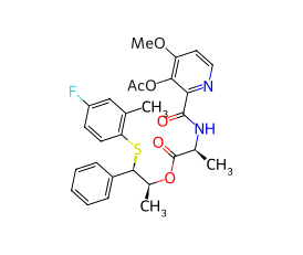 COc1ccnc(C(=O)N[C@@H](C)C(=O)O[C@@H](C)[C@H](Sc2ccc(F)cc2C)c2ccccc2)c1OC(C)=O